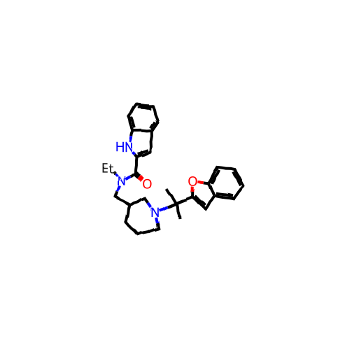 CCN(CC1CCCN(C(C)(C)c2cc3ccccc3o2)C1)C(=O)c1cc2ccccc2[nH]1